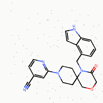 N#Cc1ccnc(N2CCC3(CC2)COCC(=O)N3Cc2cccc3[nH]ccc23)c1